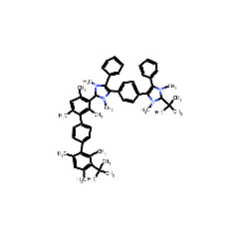 Cc1cc(C)c(C2N(C)C(c3ccccc3)=C(c3ccc(C4=C(c5ccccc5)N(C)C(C(C)(C)C)N4C)cc3)N2C)c(C)c1-c1ccc(-c2c(C)cc(C)c(C(C)(C)C)c2C)cc1